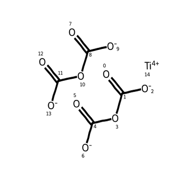 O=C([O-])OC(=O)[O-].O=C([O-])OC(=O)[O-].[Ti+4]